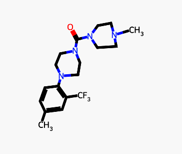 Cc1ccc(N2CCN(C(=O)N3CCN(C)CC3)CC2)c(C(F)(F)F)c1